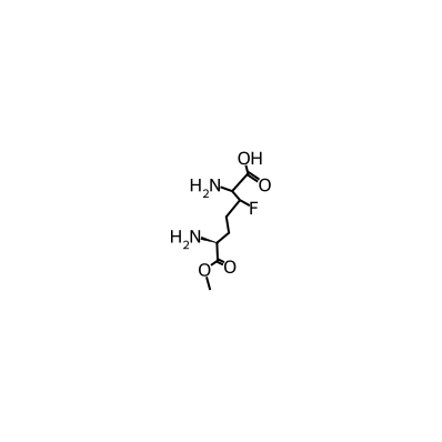 COC(=O)[C@@H](N)CCC(F)C(N)C(=O)O